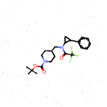 CC(C)(C)OC(=O)N1CCC(CN(C(=O)C(F)(F)F)C2CC2c2ccccc2)CC1